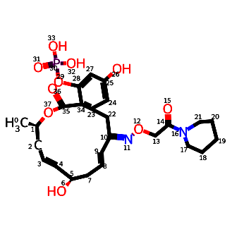 C[C@@H]1C/C=C/[C@H](O)C/C=C/C(=N/OCC(=O)N2CCCCC2)Cc2cc(O)cc(OP(=O)(O)O)c2C(=O)O1